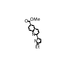 CCn1ccc(-c2ccc3cc(C(=O)OC)ccc3n2)n1